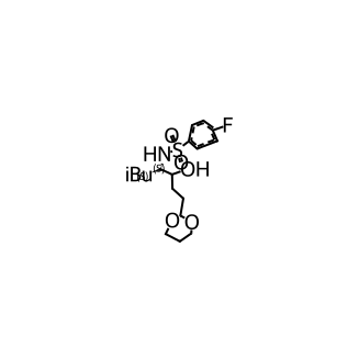 CC[C@H](C)[C@H](NS(=O)(=O)c1ccc(F)cc1)C(O)CCC1OCCCO1